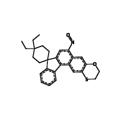 CCC1(CC)CCC2(CC1)c1ccccc1-c1c2cc(N=O)c2cc3c(cc12)SCCO3